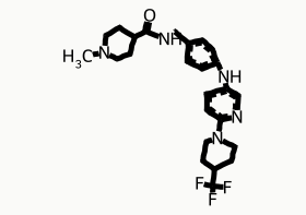 CN1CCC(C(=O)NCc2ccc(Nc3ccc(N4CCC(C(F)(F)F)CC4)nc3)cc2)CC1